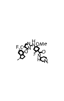 COc1cc(C(=O)NC2CCN(C)CC2)c(F)cc1Nc1ncc(C(F)(F)F)c(Oc2cccc3c2CC[C@H]3C)n1